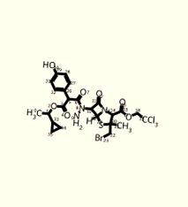 CC(OC(=O)C(C(=O)N(N)C1C(=O)N2C(C(=O)OCC(Cl)(Cl)Cl)C(C)(CBr)S[C@H]12)c1ccc(O)cc1)C1CC1